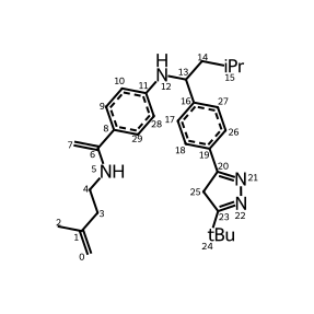 C=C(C)CCNC(=C)c1ccc(NC(CC(C)C)c2ccc(C3=NN=C(C(C)(C)C)C3)cc2)cc1